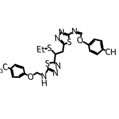 CCSC(Cc1nnc(/N=C\Oc2ccc(C)cc2)s1)c1nnc(NCOc2ccc(C)cc2)s1